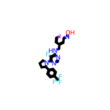 O/N=C/C=C(\C=C/I)CNc1ncnc(N2CCCC2c2ccc(C(F)(F)F)cc2)c1F